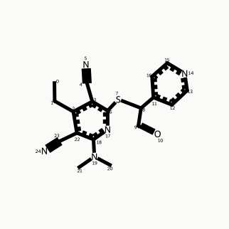 CCc1c(C#N)c(SC([C]=O)c2ccncc2)nc(N(C)C)c1C#N